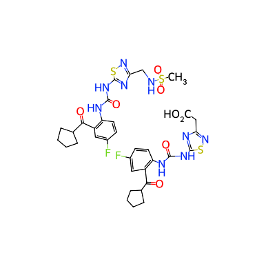 CS(=O)(=O)NCc1nsc(NC(=O)Nc2ccc(F)cc2C(=O)C2CCCC2)n1.O=C(O)Cc1nsc(NC(=O)Nc2ccc(F)cc2C(=O)C2CCCC2)n1